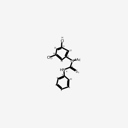 CC(=O)N(C(=S)Nc1ccccc1)c1cc(Cl)cc(Cl)c1